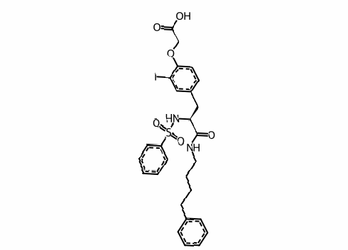 O=C(O)COc1ccc(C[C@H](NS(=O)(=O)c2ccccc2)C(=O)NCCCCc2ccccc2)cc1I